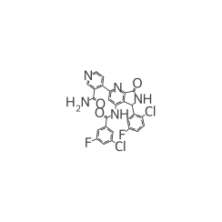 NC(=O)c1cnccc1-c1cc(NC(=O)c2cc(F)cc(Cl)c2)c2c(n1)C(=O)NC2c1cc(F)ccc1Cl